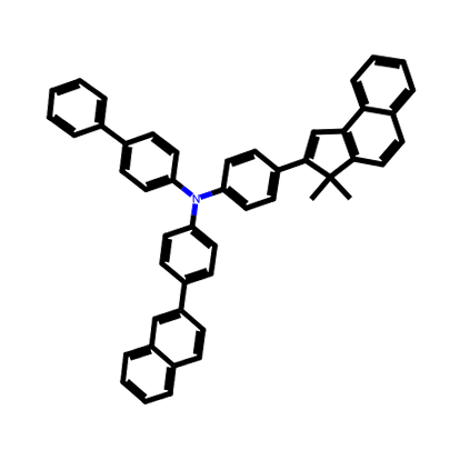 CC1(C)C(c2ccc(N(c3ccc(-c4ccccc4)cc3)c3ccc(-c4ccc5ccccc5c4)cc3)cc2)=Cc2c1ccc1ccccc21